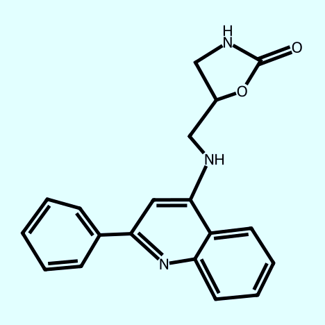 O=C1NCC(CNc2cc(-c3ccccc3)nc3ccccc23)O1